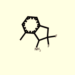 Cc1cccc2c1C(N)C(F)(F)C2